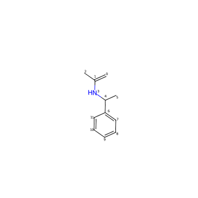 C=C(C)NC(C)c1ccccc1